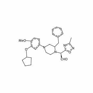 COc1ccc(N2CCN([C@H](C=O)c3nc(C)no3)C(Cc3ccccc3)C2)cc1OC1CCCC1